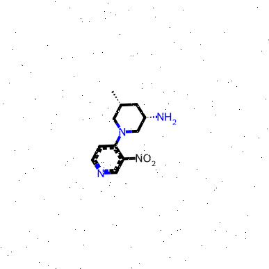 C[C@@H]1C[C@H](N)CN(c2ccncc2[N+](=O)[O-])C1